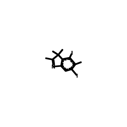 CC1=Nc2cc(I)c(C)c(I)c2C1(C)C